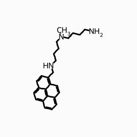 CN(CCCCN)CCCCNCc1ccc2ccc3cccc4ccc1c2c34